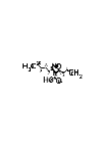 C=CCc1onc(CCCCC)c1C(=O)O